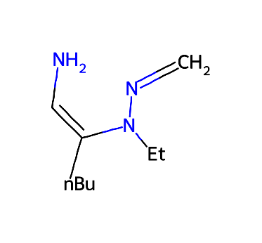 C=NN(CC)/C(=C\N)CCCC